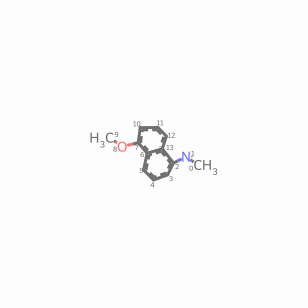 C[N]c1cccc2c(OC)cccc12